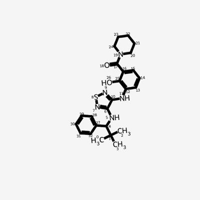 CC(C)(C)C(Nc1nsnc1Nc1cccc(C(=O)N2CCCCC2)c1O)c1ccccc1